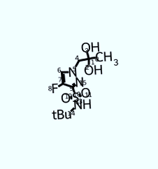 CC(O)(O)Cn1cc(F)c(S(=O)(=O)NC(C)(C)C)n1